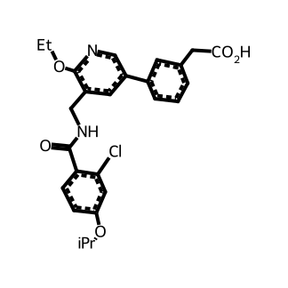 CCOc1ncc(-c2cccc(CC(=O)O)c2)cc1CNC(=O)c1ccc(OC(C)C)cc1Cl